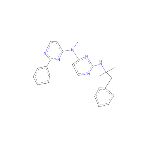 CN(c1ccnc(NC(C)(C)Cc2ccccc2)n1)c1ccnc(-c2ccccc2)n1